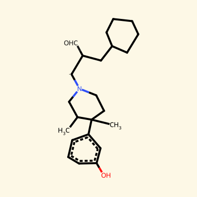 CC1CN([CH]C(C=O)CC2CCCCC2)CCC1(C)c1cccc(O)c1